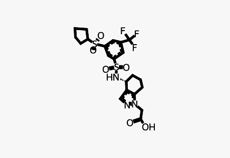 O=C(O)Cn1ncc2c1CCC[C@H]2NS(=O)(=O)c1cc(C(F)(F)F)cc(S(=O)(=O)C2CCCC2)c1